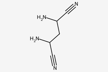 N#CC(N)CC(N)C#N